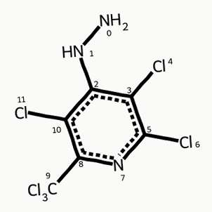 NNc1c(Cl)c(Cl)nc(C(Cl)(Cl)Cl)c1Cl